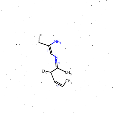 C/C=C\C(CC)/C(C)=N\C=C(/N)CC(C)C